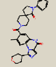 Cc1cc2c(cc1C(=O)N1CCC3(CC1)CCN(c1ccccc1)C3=O)[nH]c(=O)c1cnc(C3CCOCC3)n12